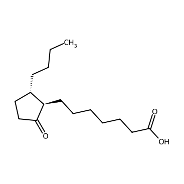 CCCC[C@H]1CCC(=O)[C@@H]1CCCCCCC(=O)O